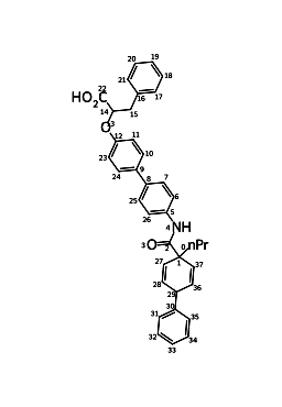 CCCC1(C(=O)Nc2ccc(-c3ccc(OC(Cc4ccccc4)C(=O)O)cc3)cc2)C=CC(c2ccccc2)C=C1